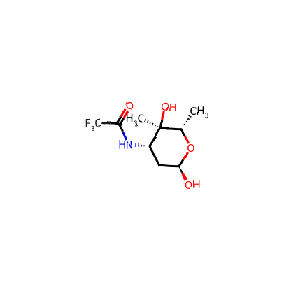 C[C@@H]1O[C@@H](O)C[C@H](NC(=O)C(F)(F)F)[C@@]1(C)O